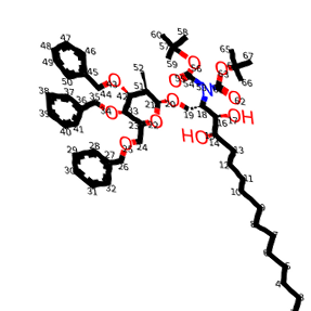 CCCCCCCCCCCCCC[C@@H](O)[C@H](O)[C@H](CO[C@H]1OC(COCc2ccccc2)[C@@H](OCc2ccccc2)[C@@H](OCc2ccccc2)[C@H]1C)N(C(=O)OC(C)(C)C)C(=O)OC(C)(C)C